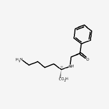 NCCCC[C@H](NCC(=O)c1ccccc1)C(=O)O